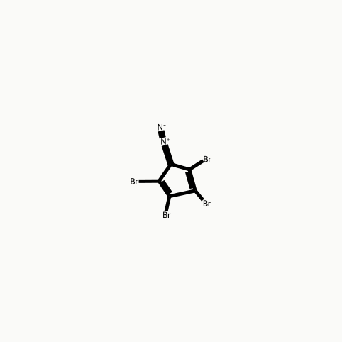 [N-]=[N+]=C1C(Br)=C(Br)C(Br)=C1Br